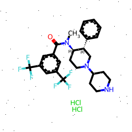 CN(C(=O)c1cc(C(F)(F)F)cc(C(F)(F)F)c1)[C@@H]1CCN(C2CCNCC2)C[C@H]1c1ccccc1.Cl.Cl